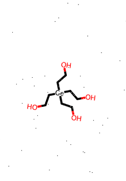 OC[CH2][Ge]([CH2]CO)([CH2]CO)[CH2]CO